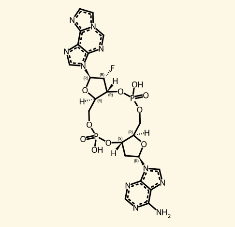 Nc1ncnc2c1ncn2[C@H]1C[C@@H]2OP(=O)(O)OC[C@H]3O[C@@H](n4cnc5c4ncn4ccnc54)[C@H](F)[C@@H]3OP(=O)(O)OC[C@H]2O1